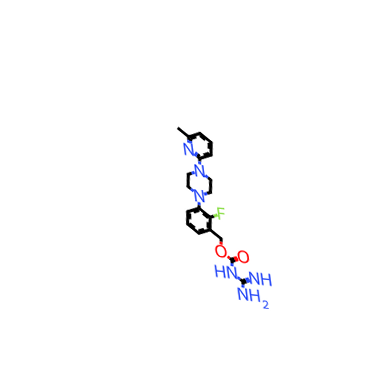 Cc1cccc(N2CCN(c3cccc(COC(=O)NC(=N)N)c3F)CC2)n1